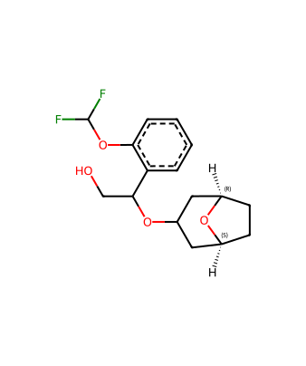 OCC(OC1C[C@H]2CC[C@@H](C1)O2)c1ccccc1OC(F)F